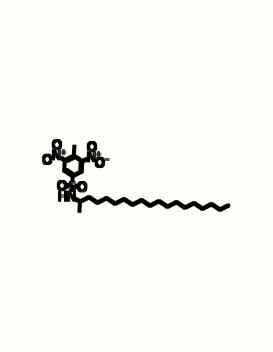 CCCCCCCCCCCCCCCCCC(C)NS(=O)(=O)c1cc([N+](=O)[O-])c(C)c([N+](=O)[O-])c1